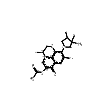 CC1CN(c2c(F)cc3c(=O)c(OC(=O)O)cn4c3c2OC[C@@H]4C)CC1(C)N